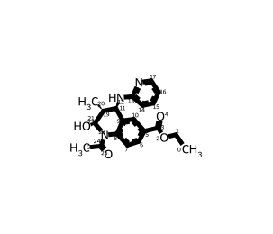 CCOC(=O)c1ccc2c(c1)[C@H](Nc1ccccn1)[C@@H](C)[C@H](O)N2C(C)=O